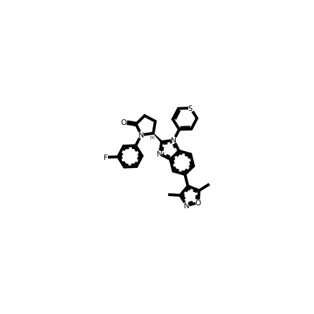 Cc1noc(C)c1-c1ccc2c(c1)nc([C@@H]1CCC(=O)N1c1cccc(F)c1)n2C1=CCSC=C1